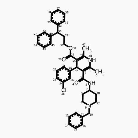 CC1=C(C(=O)NC2CCN(Cc3ccccc3)CC2)C(c2cccc(Cl)c2)C(C(=O)OCCC(c2ccccc2)c2ccccc2)=C(C)N1